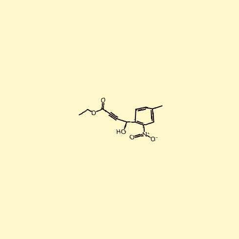 CCOC(=O)C#CC(O)c1ccc(C)cc1[N+](=O)[O-]